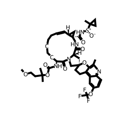 COCCC(C)(C)OC(=O)N[C@H]1CCCCC/C=C\[C@@H]2C[C@@]2(C(=O)N[S@+]([O-])C2(C)CC2)NC(=O)[C@@H]2C[C@]3(CCc4c(c(C)nc5ccc(OC(F)(F)F)cc45)O3)CN2C1=O